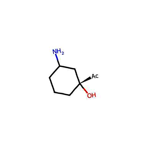 CC(=O)[C@@]1(O)CCCC(N)C1